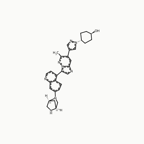 Cc1nn2c(-c3ccnc4cc(N5C[C@@H]6C[C@H]5CN6)ccc34)cnc2cc1-c1cnn([C@H]2CC[C@H](O)CC2)c1